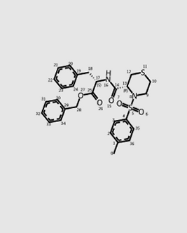 Cc1ccc(S(=O)(=O)N2CCSC[C@H]2C(=O)N[C@@H](Cc2ccccc2)C(=O)OCc2ccccc2)cc1